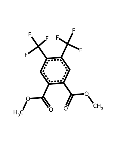 COC(=O)c1cc(C(F)(F)F)c(C(F)(F)F)cc1C(=O)OC